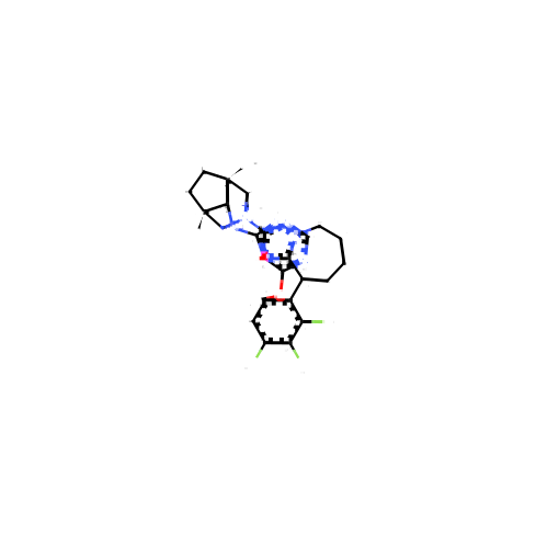 COc1cc(N2C[C@H]3CC[C@@H](C2)[C@@H]3Nc2nc3n(n2)CCCCC3c2ccc(F)c(F)c2F)ncn1